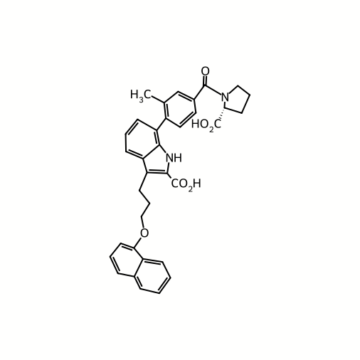 Cc1cc(C(=O)N2CCC[C@@H]2C(=O)O)ccc1-c1cccc2c(CCCOc3cccc4ccccc34)c(C(=O)O)[nH]c12